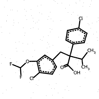 CC(C)C(Cc1ccc(Cl)c(OC(F)F)c1)(C(=O)O)c1ccc(Cl)cc1